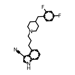 N#Cc1c[nH]c2cccc(CCCN3CCC(Cc4ccc(F)cc4F)CC3)c12